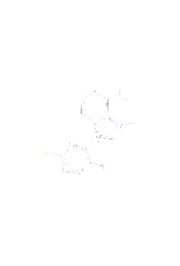 CCc1cnc(Cl)nc1-c1cn(CC)c2c(CC)cccc12